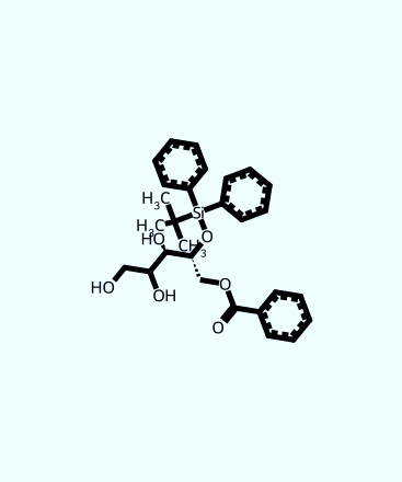 CC(C)(C)[Si](O[C@H](COC(=O)c1ccccc1)[C@@H](O)C(O)CO)(c1ccccc1)c1ccccc1